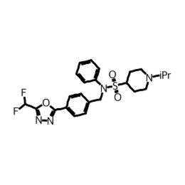 CC(C)N1CCC(S(=O)(=O)N(Cc2ccc(-c3nnc(C(F)F)o3)cc2)c2ccccc2)CC1